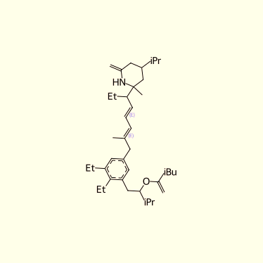 C=C1CC(C(C)C)CC(C)(C(/C=C/C=C(\C)Cc2cc(CC)c(CC)c(CC(OC(=C)C(C)CC)C(C)C)c2)CC)N1